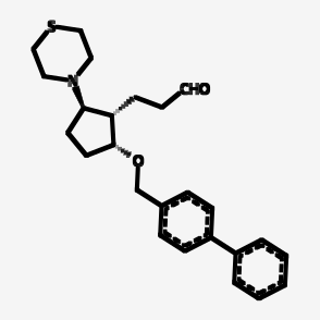 O=CCC[C@H]1[C@H](N2CCSCC2)CC[C@H]1OCc1ccc(-c2ccccc2)cc1